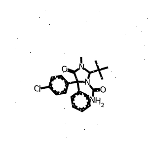 CN1C(=O)C(c2ccccc2)(c2ccc(Cl)cc2)N(C(N)=O)C1C(C)(C)C